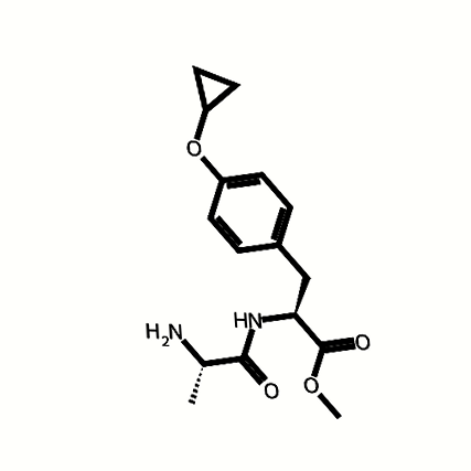 COC(=O)[C@H](Cc1ccc(OC2CC2)cc1)NC(=O)[C@H](C)N